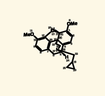 COC1=CC=C2[C@@H]3Cc4ccc(OC)c5c4[C@]2(CCN3CC2CC2)[C@@H]1O5